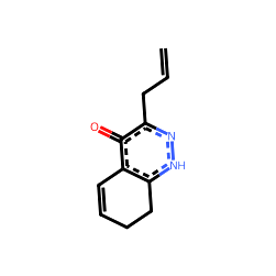 C=CCc1n[nH]c2c(c1=O)C=CCC2